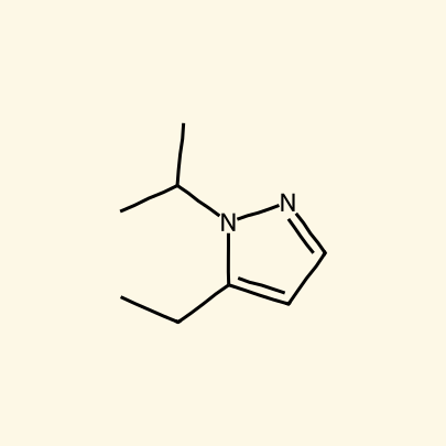 CCc1ccnn1C(C)C